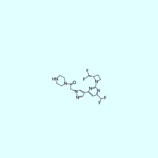 O=C(Cn1cc(-c2cc(C(F)F)nc(N3CC[C@@H]3C(F)F)n2)cn1)N1CCNCC1